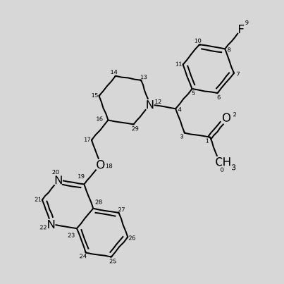 CC(=O)CC(c1ccc(F)cc1)N1CCCC(COc2ncnc3ccccc23)C1